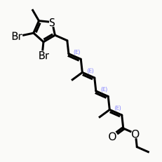 CCOC(=O)/C=C(C)/C=C/C=C(C)/C=C/Cc1sc(C)c(Br)c1Br